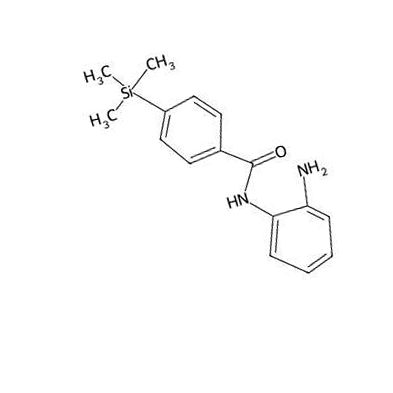 C[Si](C)(C)c1ccc(C(=O)Nc2ccccc2N)cc1